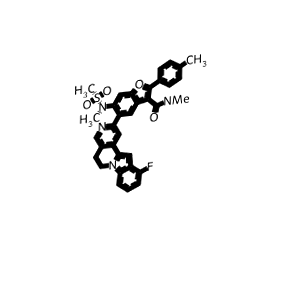 CNC(=O)c1c(-c2ccc(C)cc2)oc2cc(N(C)S(C)(=O)=O)c(-c3cc4c(cn3)CCn3c-4cc4c(F)cccc43)cc12